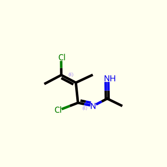 CC(=N)/N=C(Cl)\C(C)=C(/C)Cl